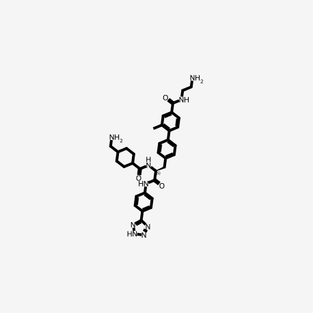 Cc1cc(C(=O)NCCN)ccc1-c1ccc(C[C@H](NC(=O)C2CCC(CN)CC2)C(=O)Nc2ccc(-c3nn[nH]n3)cc2)cc1